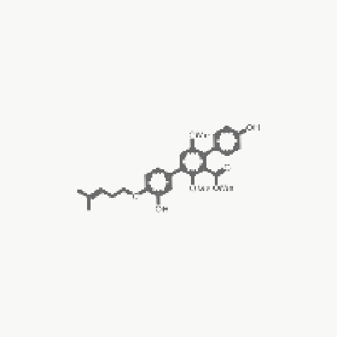 COC(=O)c1c(OC)c(-c2ccc(OCCC=C(C)C)c(O)c2)cc(OC)c1-c1ccc(O)cc1